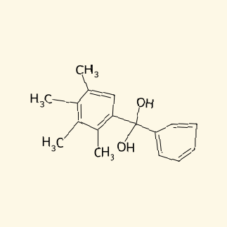 Cc1cc(C(O)(O)c2ccccc2)c(C)c(C)c1C